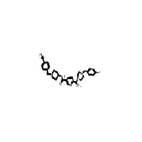 C=C(c1ccc(C(=O)NC2CCN(Cc3ccc(C#N)cc3)CC2)cn1)N1CCN(Cc2ccc(F)cc2)CC1